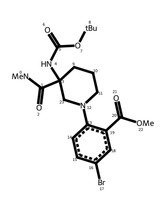 CNC(=O)C1(NC(=O)OC(C)(C)C)CCCN(c2ccc(Br)cc2C(=O)OC)C1